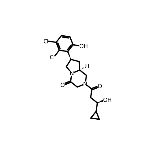 O=C(C[C@@H](O)C1CC1)N1CC(=O)N2C[C@@H](c3c(O)ccc(Cl)c3Cl)C[C@H]2C1